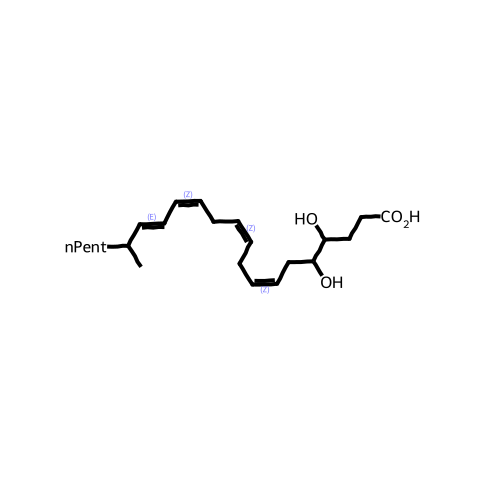 CCCCCC(C)/C=C/C=C\C/C=C\C/C=C\CC(O)C(O)CCC(=O)O